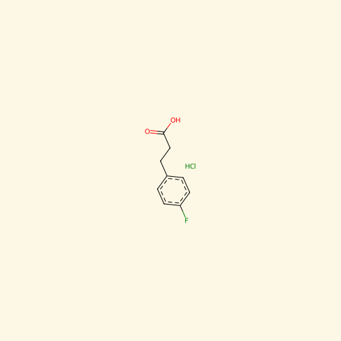 Cl.O=C(O)CCc1ccc(F)cc1